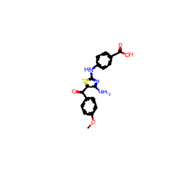 COc1ccc(C(=O)c2sc(Nc3ccc(C(=O)O)cc3)nc2N)cc1